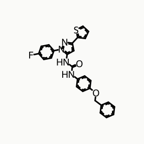 O=C(Nc1ccc(OCc2ccccc2)cc1)Nc1cc(-c2cccs2)nn1-c1ccc(F)cc1